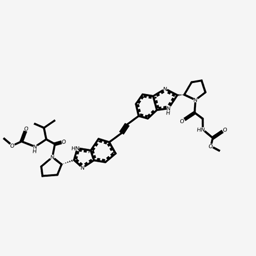 COC(=O)NCC(=O)N1CCC[C@H]1c1nc2ccc(C#Cc3ccc4nc([C@@H]5CCCN5C(=O)C(NC(=O)OC)C(C)C)[nH]c4c3)cc2[nH]1